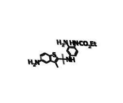 CCOC(=O)Nc1ccc(NC(C)(C)c2sc3ccc(N)cc3c2C)cc1N